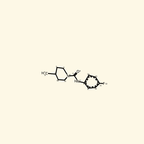 CC1CCN(C(=O)Nc2ccc(F)cc2)CC1